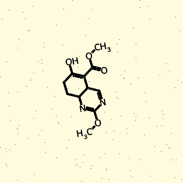 COC(=O)C1=C(O)CCC2N=C(OC)N=CC12